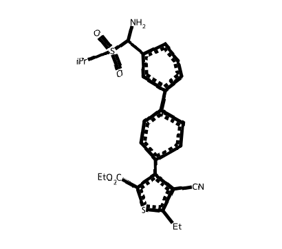 CCOC(=O)c1sc(CC)c(C#N)c1-c1ccc(-c2cccc(C(N)S(=O)(=O)C(C)C)c2)cc1